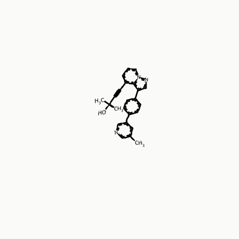 Cc1cncc(-c2ccc(-c3cnn4cccc(C#CC(C)(C)O)c34)cc2)c1